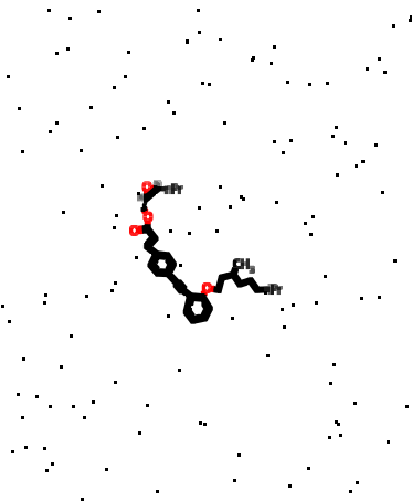 CCC[C@@H]1O[C@H]1COC(=O)C=Cc1ccc(C#Cc2ccccc2OCCC(C)CCCC(C)C)cc1